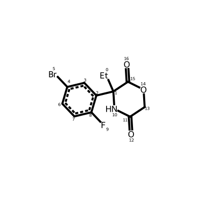 CCC1(c2cc(Br)ccc2F)NC(=O)COC1=O